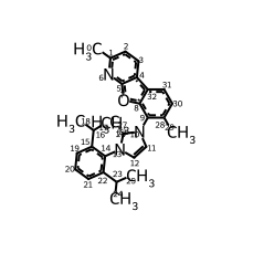 Cc1ccc2c(n1)oc1c(N3C=CN(c4c(C(C)C)cccc4C(C)C)[C@@H]3C)c(C)ccc12